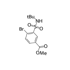 COC(=O)c1ccc(Br)c(S(=O)(=O)NC(C)(C)C)c1